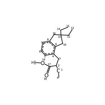 CCC(Cc1cccc2c1CC(CC)(CC)C2)C(=O)OI